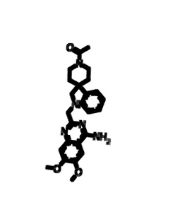 COc1cc2nc(CNCC3(c4ccccc4)CCN(C(C)=O)CC3)nc(N)c2cc1OC